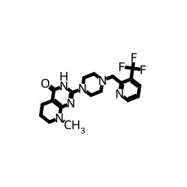 CN1CCCc2c1nc(N1CCN(Cc3ncccc3C(F)(F)F)CC1)[nH]c2=O